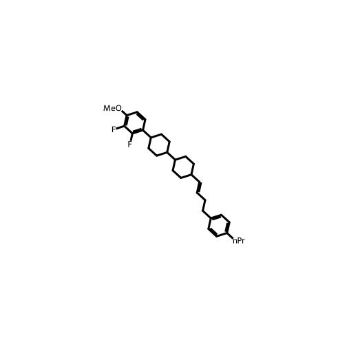 CCCc1ccc(CC/C=C/C2CCC(C3CCC(c4ccc(OC)c(F)c4F)CC3)CC2)cc1